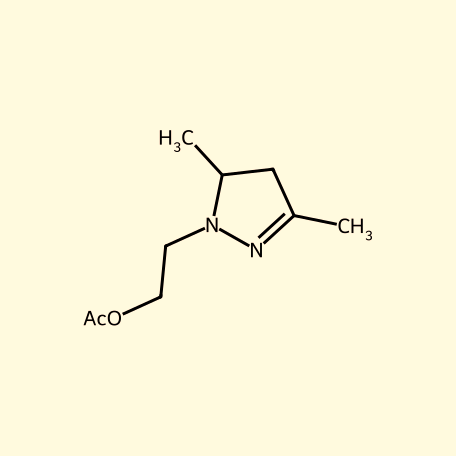 CC(=O)OCCN1N=C(C)CC1C